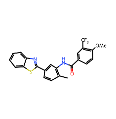 COc1ccc(C(=O)Nc2cc(-c3nc4ccccc4s3)ccc2C)cc1C(F)(F)F